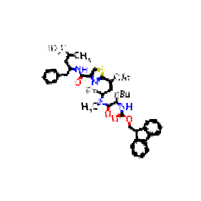 CCCCC(NC(=O)OCC1c2ccccc2-c2ccccc21)C(=O)N(C)C(CC(OC(C)=O)c1nc(C(=O)NC(Cc2ccccc2)CC(C)C(=O)O)cs1)C(C)C